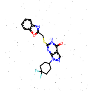 O=c1[nH]c(SCc2nc3ccccc3o2)nc2c1cnn2C1CCC(F)(F)CC1